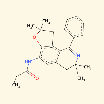 CCC(=O)Nc1cc2c(c3c1OC(C)(C)C3)C(c1ccccc1)=NC(C)(C)C2